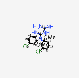 COC1(N(C(=N)NC(=N)N)C2(OC)C=CC=C(Cl)C2)C=CC=C(Cl)C1